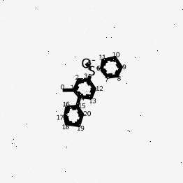 Cc1cc([S+]([O-])c2ccccc2)ccc1-c1ccccc1